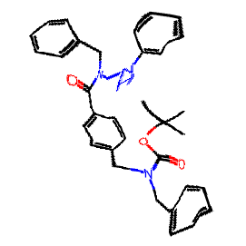 CC(C)(C)OC(=O)N(Cc1ccccc1)Cc1ccc(C(=O)N(Cc2ccccc2)Nc2ccccc2)cc1